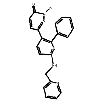 CC(C)n1nc(-c2ccc(NCc3ccccn3)nc2-c2ccccc2)ccc1=O